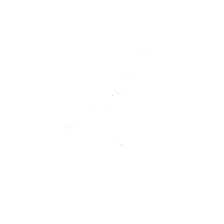 CC(C)(C)C1C2CN(c3cc(F)cc(C#N)c3)CC21